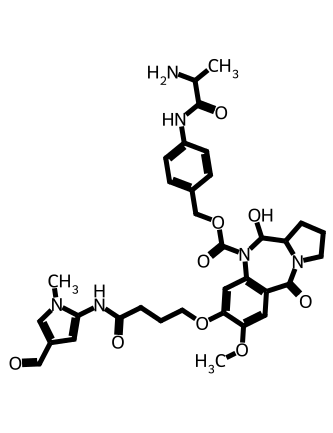 COc1cc2c(cc1OCCCC(=O)Nc1cc(C=O)cn1C)N(C(=O)OCc1ccc(NC(=O)C(C)N)cc1)C(O)C1CCCN1C2=O